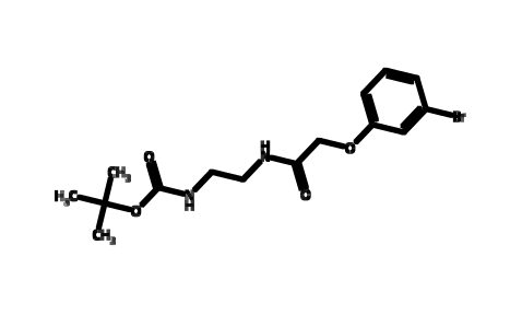 CC(C)(C)OC(=O)NCCNC(=O)COc1cccc(Br)c1